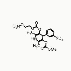 COC(=O)OC1=C(C)NC(C)=C(OC(=O)OCCO[N+](=O)[O-])C1c1cccc([N+](=O)[O-])c1